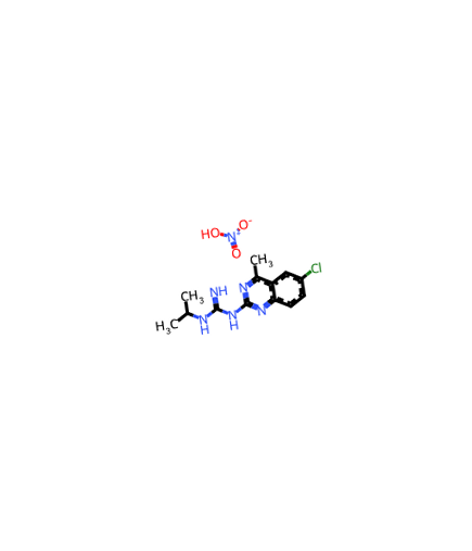 Cc1nc(NC(=N)NC(C)C)nc2ccc(Cl)cc12.O=[N+]([O-])O